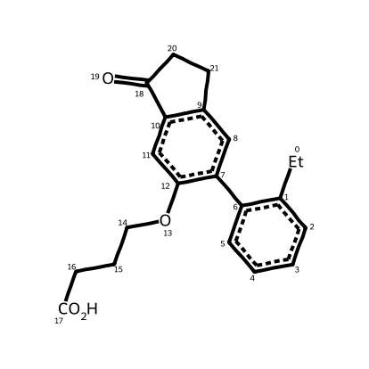 CCc1ccccc1-c1cc2c(cc1OCCCC(=O)O)C(=O)CC2